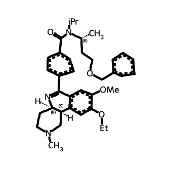 CCOc1cc2c(cc1OC)C(c1ccc(C(=O)N(C(C)C)[C@H](C)CCOCc3ccccc3)cc1)=N[C@@H]1CCN(C)C[C@H]21